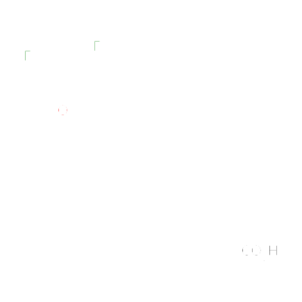 O=C(O)Cc1ccc2cc(OC(F)F)ccc2c1